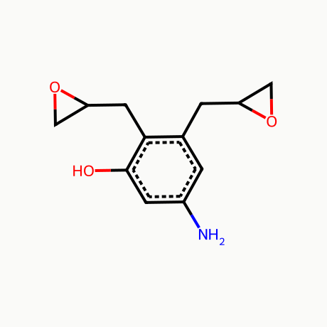 Nc1cc(O)c(CC2CO2)c(CC2CO2)c1